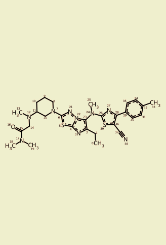 CCc1nc2sc(N3CCCC(N(C)CC(=O)N(C)C)C3)nn2c1N(C)c1nc(-c2ccc(C)cc2)c(C#N)s1